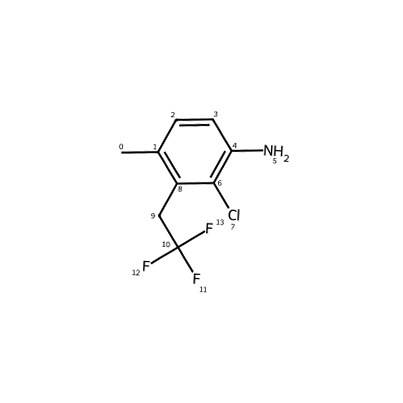 Cc1ccc(N)c(Cl)c1CC(F)(F)F